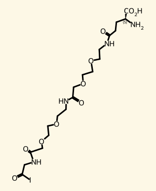 N[C@@H](CCC(=O)NCCOCCOCC(=O)NCCOCCOCC(=O)NCC(=O)I)C(=O)O